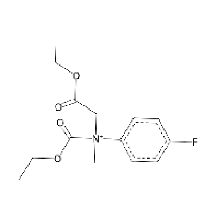 CCOC(=O)C[N+](C)(C(=O)OCC)c1ccc(F)cc1